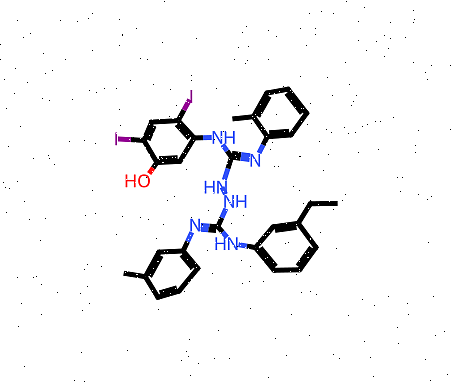 CCc1cccc(NC(=Nc2cccc(C)c2)NNC(=Nc2ccccc2C)Nc2cc(O)c(I)cc2I)c1